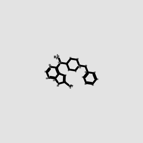 CCCc1cc2c(N(C)C3CCN(Cc4ccccc4)CC3)ncnc2s1